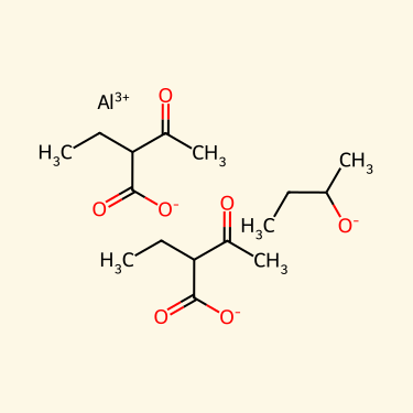 CCC(C(C)=O)C(=O)[O-].CCC(C(C)=O)C(=O)[O-].CCC(C)[O-].[Al+3]